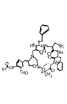 CCC(=O)Oc1ccc(CC2COCCN2CC(=O)N[C@@H](CCc2ccccc2)C(=O)N[C@@H](CC(C)C)C(=O)N[C@@H](Cc2ccccc2)C(=O)N[C@@H](CC(C)C)C(=O)[C@@]2(C)CO2)cc1C=O